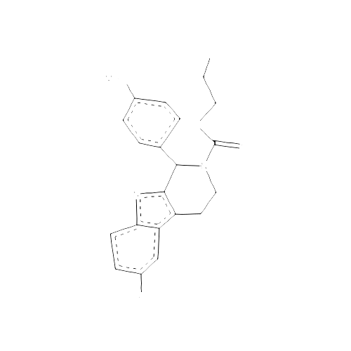 COc1ccc(C2c3[nH]c4ccc(Cl)cc4c3CCN2C(=S)SCCF)cc1